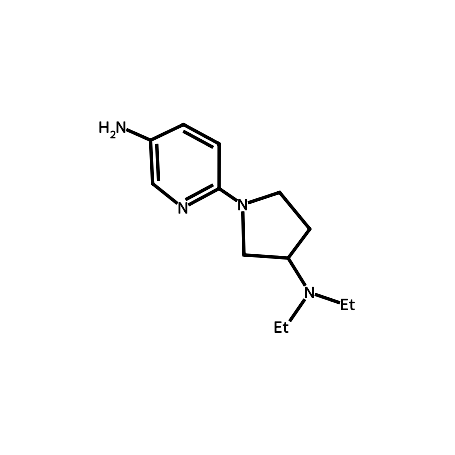 CCN(CC)C1CCN(c2ccc(N)cn2)C1